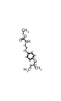 CCOC(=O)NCCSc1ccc(OC(C)CC)cc1